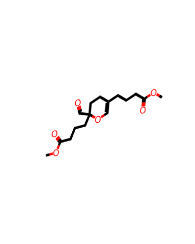 COC(=O)CCCC1=COC(C=O)(CCCC(=O)OC)CC1